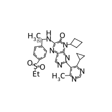 CCS(=O)(=O)c1ccc([C@H](C)Nc2nc3cnc(-c4c(C)ncnc4C4CC4)nc3n(C3CCC3)c2=O)cc1